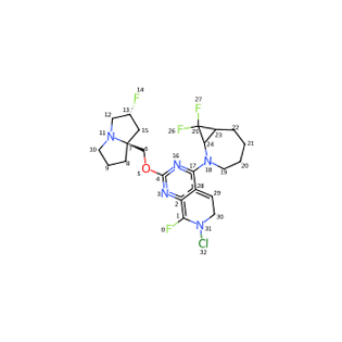 FC1=c2nc(OC[C@@]34CCCN3C[C@H](F)C4)nc(N3CCCCC4C3C4(F)F)c2=CCN1Cl